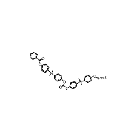 CCCC(C)Oc1ccc(C(C)(C)c2ccc(OC(=O)Oc3ccc(C(C)(C)c4ccc(OC(=O)c5ccccc5)cc4)cc3)cc2)cc1